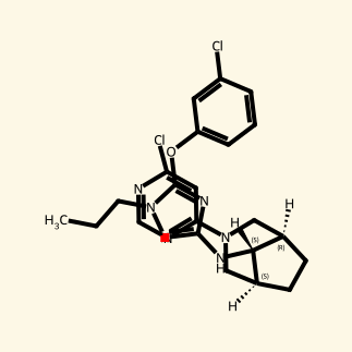 CCCn1nc(N[C@@H]2[C@@H]3CC[C@H]2CN(c2cc(Cl)ncn2)C3)nc1Oc1cccc(Cl)c1